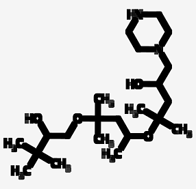 CC(CC(C)(C)OCC(O)C(C)(C)C)OC(C)(C)CC(O)CN1CCNCC1